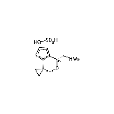 CNC[C@@H]1OCC2(CC2)c2sccc21.O=S(=O)(O)O